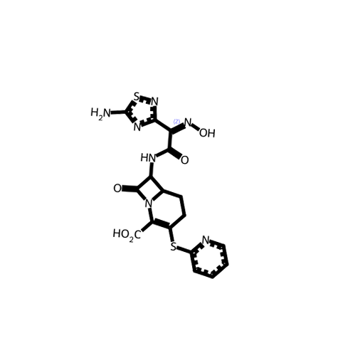 Nc1nc(/C(=N/O)C(=O)NC2C(=O)N3C(C(=O)O)=C(Sc4ccccn4)CCC23)ns1